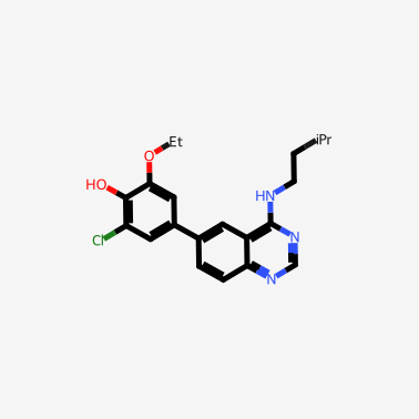 CCOc1cc(-c2ccc3ncnc(NCCC(C)C)c3c2)cc(Cl)c1O